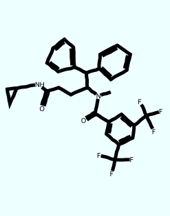 CN(C(=O)c1cc(C(F)(F)F)cc(C(F)(F)F)c1)C(CCC(=O)NC1CC1)C(c1ccccc1)c1ccccc1